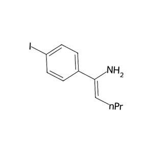 [CH2]CCC=C(N)c1ccc(I)cc1